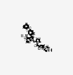 CC(C)(C=C(C#N)C(=O)N1CCC[C@H]1Cn1nc(-c2ccc(Oc3ccccc3)cc2F)c2c(N)ncnc21)N1CCNCC1